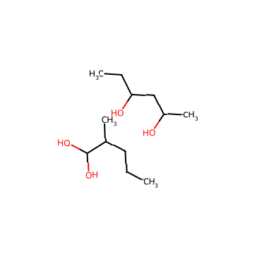 CCC(O)CC(C)O.CCCC(C)C(O)O